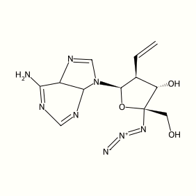 C=C[C@@H]1[C@H](N2C=NC3C(N)=NC=NC32)O[C@@](CO)(N=[N+]=[N-])[C@H]1O